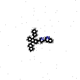 C1=Cc2ccc(-c3c4c(c(-c5ccc6ccccc6c5)c5cc(-c6ccc(-c7cnc8ccccc8c7)nc6)ccc35)=CCCC=4)cc2CC1